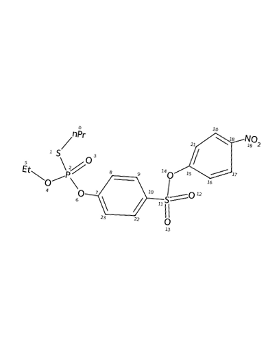 CCCSP(=O)(OCC)Oc1ccc(S(=O)(=O)Oc2ccc([N+](=O)[O-])cc2)cc1